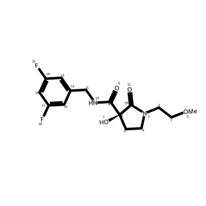 COCCN1CC[C@](O)(C(=O)NCc2cc(F)cc(F)c2)C1=O